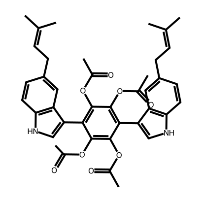 CC(=O)Oc1c(OC(C)=O)c(-c2c[nH]c3ccc(CC=C(C)C)cc23)c(OC(C)=O)c(OC(C)=O)c1-c1c[nH]c2ccc(CC=C(C)C)cc12